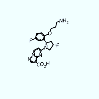 NCCCOc1ccc(F)cc1[C@H]1C[C@H](F)CN1c1ccn2ncc(C(=O)O)c2n1